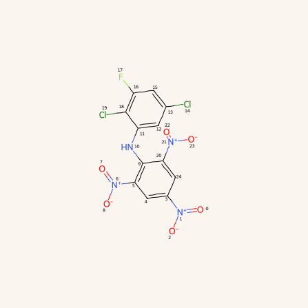 O=[N+]([O-])c1cc([N+](=O)[O-])c(Nc2cc(Cl)cc(F)c2Cl)c([N+](=O)[O-])c1